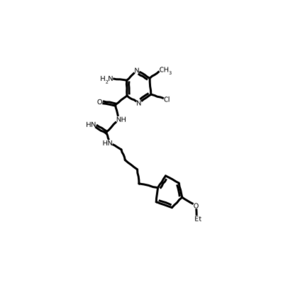 CCOc1ccc(CCCCNC(=N)NC(=O)c2nc(Cl)c(C)nc2N)cc1